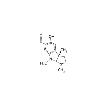 CN1CC[C@@]2(C)c3cc(O)c(C=O)cc3N(C)C12